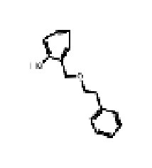 Oc1ccccc1COCCc1ccccc1